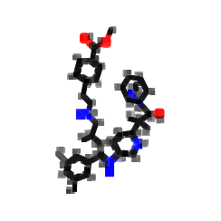 COC(=O)c1ccc(CCNCC(C)c2c(-c3cc(C)cc(C)c3)[nH]c3cnc(C(C)(C)C(=O)N4CC5CCC4CC5)cc23)cc1